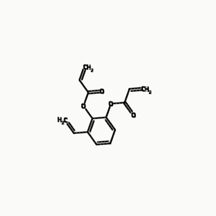 C=CC(=O)Oc1cccc(C=C)c1OC(=O)C=C